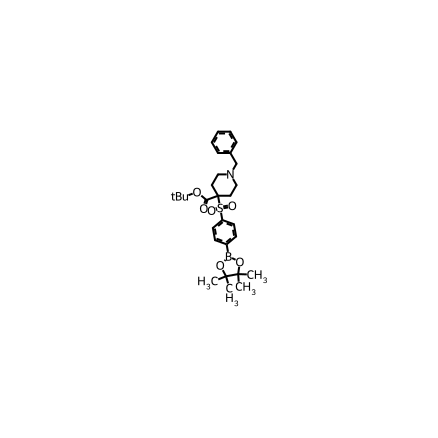 CC(C)(C)OC(=O)C1(S(=O)(=O)c2ccc(B3OC(C)(C)C(C)(C)O3)cc2)CCN(Cc2ccccc2)CC1